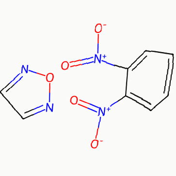 O=[N+]([O-])c1ccccc1[N+](=O)[O-].c1cnon1